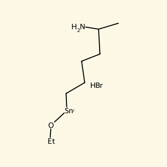 Br.CC[O][Sn][CH2]CCCC(C)N